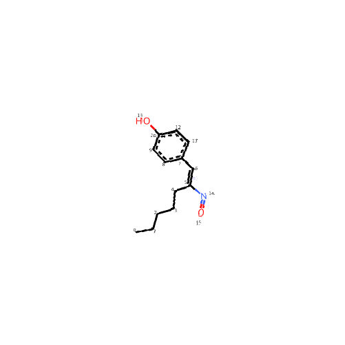 CCCCC/C(=C\c1ccc(O)cc1)N=O